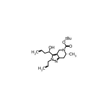 C=CC[C@@H](O)c1c2c(nn1CC=C)C[C@@H](C)N(C(=O)OC(C)(C)C)C2